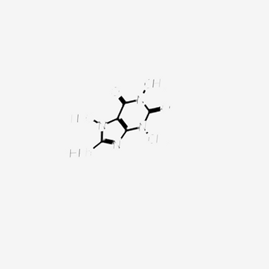 Cn1c(=O)c2c(n[c]([PbH])n2C)n(C)c1=O